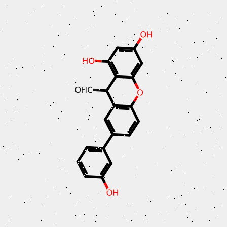 O=CC1c2cc(-c3cccc(O)c3)ccc2Oc2cc(O)cc(O)c21